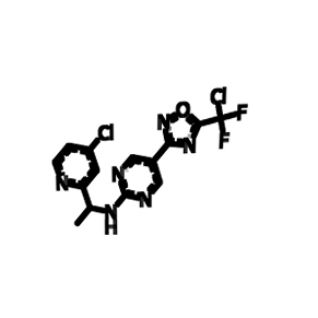 CC(Nc1ncc(-c2noc(C(F)(F)Cl)n2)cn1)c1cc(Cl)ccn1